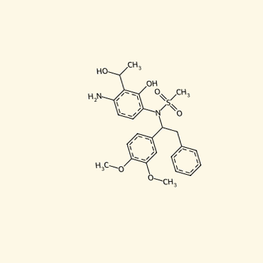 COc1ccc(C(Cc2ccccc2)N(c2ccc(N)c(C(C)O)c2O)S(C)(=O)=O)cc1OC